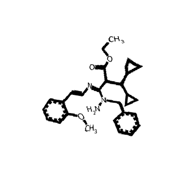 CCOC(=O)C(/C(=N/C=C/c1ccccc1OC)N(N)Cc1ccccc1)C(C1CC1)C1CC1